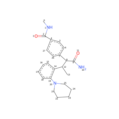 CNC(=O)c1ccc(C(C(N)=O)C(C)c2ccccc2N2CCCCC2)cc1